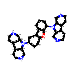 c1cc(-n2c3cnccc3c3ccncc32)c2oc3ccc(-n4c5cnccc5c5ccncc54)cc3c2c1